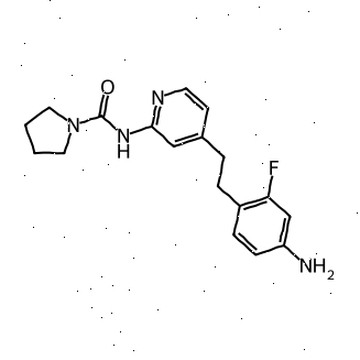 Nc1ccc(CCc2ccnc(NC(=O)N3CCCC3)c2)c(F)c1